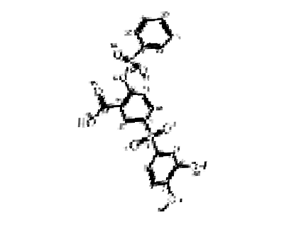 COc1ccc(S(=O)(=O)c2ccc(OS(=O)(=O)c3ccccc3)c(C(=O)O)c2)cc1O